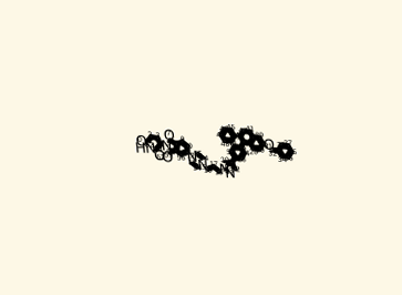 O=C1CCC(N2C(=O)c3ccc(N4CCN(CCCn5cc(-c6ccc(C7c8ccc(OCc9ccccc9)cc8CC[C@@H]7c7ccccc7)cc6)cn5)CC4)cc3C2=O)C(=O)N1